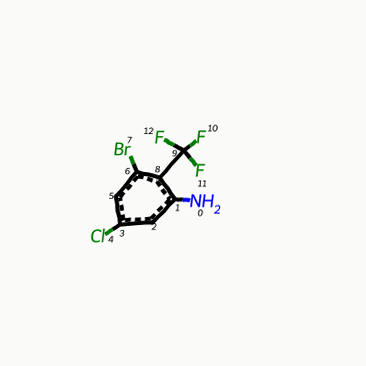 Nc1cc(Cl)cc(Br)c1C(F)(F)F